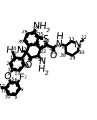 Cc1cc(Oc2c(F)cccc2F)ccc1C1(N)C(=O)C(N)c2c(C(=O)NC3CCCN(C)C3)sc3c(N)ccc1c23